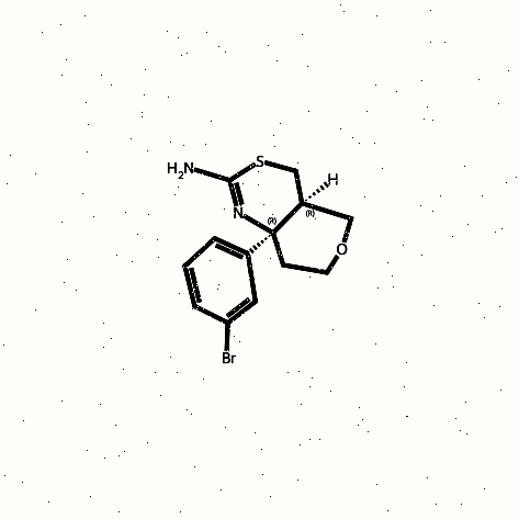 NC1=N[C@]2(c3cccc(Br)c3)CCOC[C@@H]2CS1